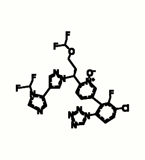 [O-][n+]1cc(-c2c(-n3cnnn3)ccc(Cl)c2F)ccc1[C@H](CCOC(F)F)n1cc(-c2cncn2C(F)F)cn1